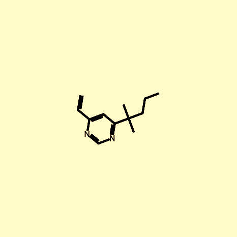 C=Cc1cc(C(C)(C)CCC)ncn1